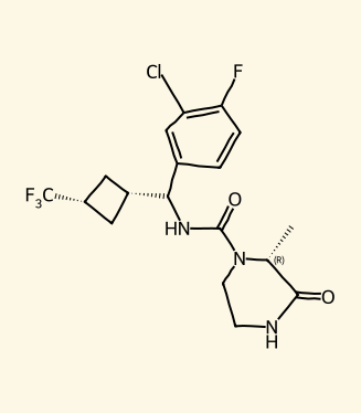 C[C@@H]1C(=O)NCCN1C(=O)NC(c1ccc(F)c(Cl)c1)[C@H]1C[C@@H](C(F)(F)F)C1